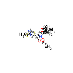 C=CCOC(=O)N1C[C@H](O[Si](C)(C)C(C)(C)C)C[C@H]1Cc1cn2c(SC)ncc2s1